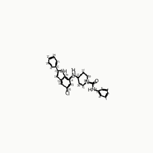 O=C(Nc1ccccc1)N1CCC(Nc2cc(Cl)cc3cc(-c4ccccc4)[nH]c23)CC1